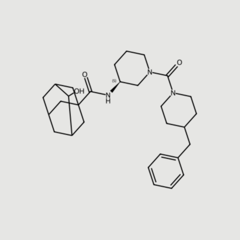 O=C(N1CCC(Cc2ccccc2)CC1)N1CCC[C@H](NC(=O)C23CC4CC(C2)C(O)C(C4)C3)C1